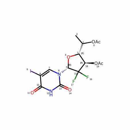 CC(=O)OC(C)[C@H]1O[C@@H](n2cc(I)c(=O)[nH]c2=O)C(F)(F)[C@@H]1OC(C)=O